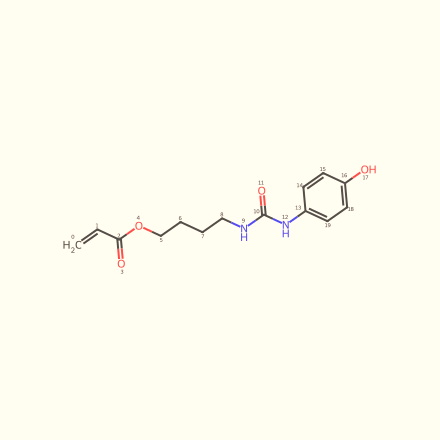 C=CC(=O)OCCCCNC(=O)Nc1ccc(O)cc1